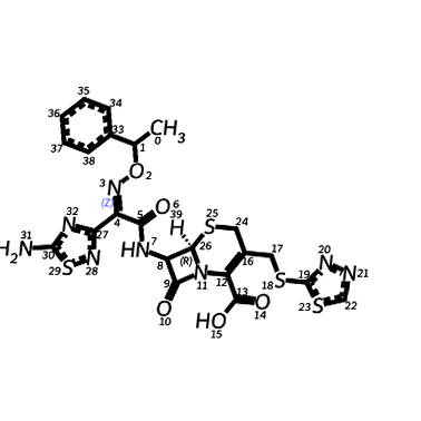 CC(O/N=C(\C(=O)NC1C(=O)N2C(C(=O)O)=C(CSc3nncs3)CS[C@H]12)c1nsc(N)n1)c1ccccc1